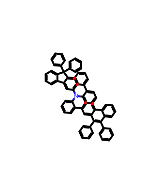 c1ccc(-c2ccccc2N(c2ccc3c(c2)-c2ccccc2C3(c2ccccc2)c2ccccc2)c2ccccc2-c2ccc3c(c2)c(-c2ccccc2)c(-c2ccccc2)c2ccccc23)cc1